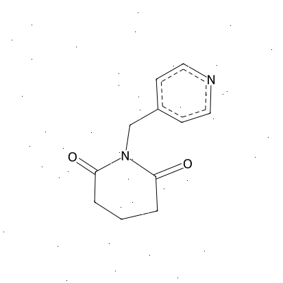 O=C1CCCC(=O)N1Cc1ccncc1